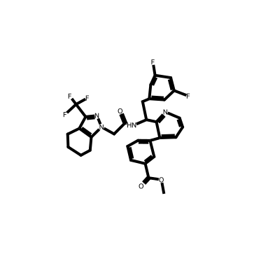 COC(=O)c1cccc(-c2cccnc2C(Cc2cc(F)cc(F)c2)NC(=O)Cn2nc(C(F)(F)F)c3c2CCCC3)c1